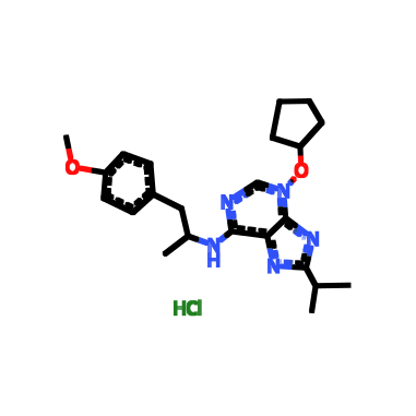 COc1ccc(CC(C)Nc2ncn(OC3CCCC3)c3nc(C(C)C)nc2-3)cc1.Cl